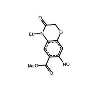 CCN1C(=O)COc2cc(N=O)c(C(=O)OC)cc21